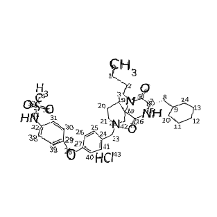 CCCCN1C(=O)[C@H](CC2CCCCC2)NC(=O)C12CCCN(Cc1ccc(Oc3ccc(NS(C)(=O)=O)cc3)cc1)C2.Cl